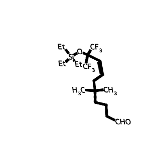 CC[Si](CC)(CC)OC(/C=C\CC(C)(C)CCCC=O)(C(F)(F)F)C(F)(F)F